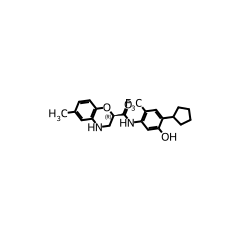 Cc1ccc2c(c1)NC[C@H](C(=O)Nc1cc(O)c(C3CCCC3)cc1C(F)(F)F)O2